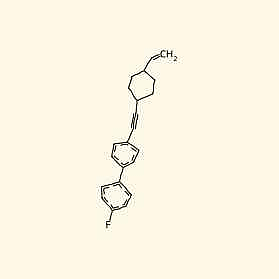 C=CC1CCC(C#Cc2ccc(-c3ccc(F)cc3)cc2)CC1